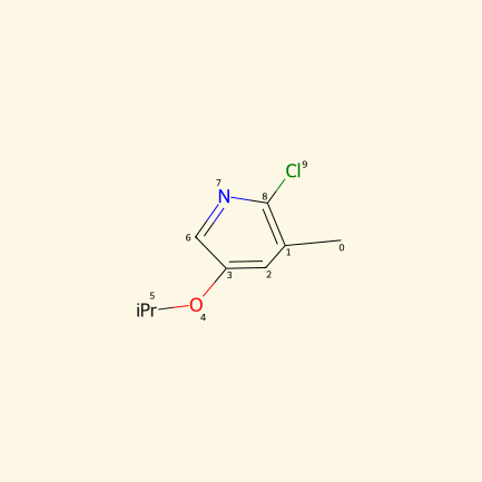 Cc1cc(OC(C)C)cnc1Cl